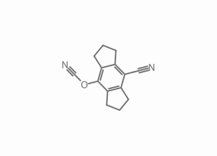 N#COc1c2c(c(C#N)c3c1CCC3)CCC2